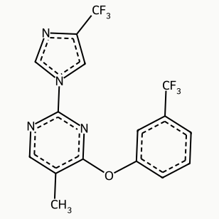 Cc1cnc(-n2cnc(C(F)(F)F)c2)nc1Oc1cccc(C(F)(F)F)c1